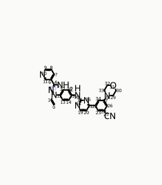 C=CN(/N=C(\N)c1cccnc1)c1ccc(Nc2nccc(-c3cc(C#N)cc(N4CCOCC4)c3)n2)cc1